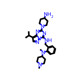 CC(C)c1cnn2c(NCc3ccccc3N(C)C3CCN(C)CC3)nc(N3CCC(N)CC3)nc12